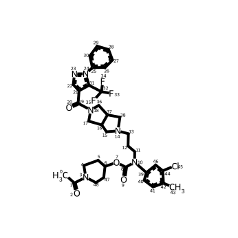 CC(=O)N1CCC(OC(=O)N(CCCN2CC3CN(C(=O)c4cnn(-c5ccccc5)c4C(F)(F)F)CC3C2)c2ccc(C)c(Cl)c2)CC1